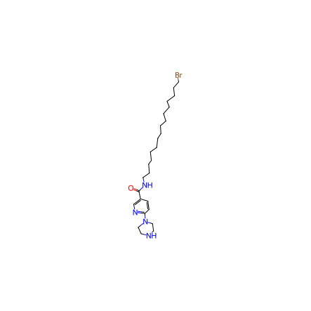 O=C(NCCCCCCCCCCCCCCCCBr)c1ccc(N2CCNCC2)nc1